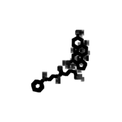 CC(CCC(=O)NCCNc1ccccc1)[C@H]1CC[C@H]2[C@@H]3CC[C@@H]4C[C@H](O)CC[C@]4(C)[C@H]3C[C@H](O)[C@]12C